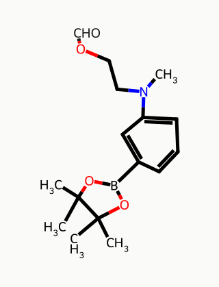 CN(CCOC=O)c1cccc(B2OC(C)(C)C(C)(C)O2)c1